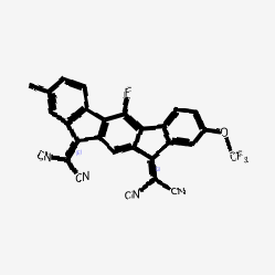 [C-]#[N+]/C(C#N)=C1/c2cc(OC(F)(F)F)ccc2-c2c1cc1c(c2F)-c2ccc(C)cc2/C1=C(/C#N)[N+]#[C-]